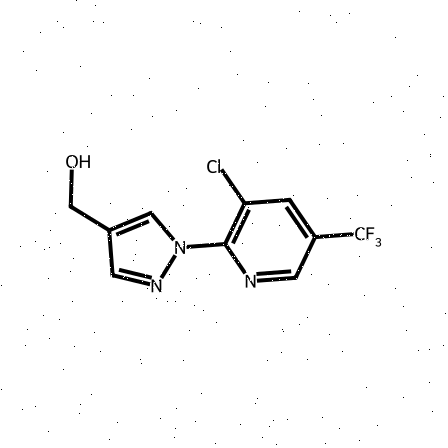 OCc1cnn(-c2ncc(C(F)(F)F)cc2Cl)c1